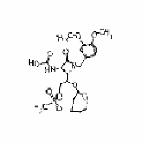 COc1ccc(CN2C(=O)[C@@H](NC(=O)O)[C@H]2[C@H](COS(C)(=O)=O)OC2CCCCO2)cc1OC